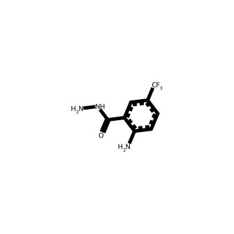 NNC(=O)c1cc(C(F)(F)F)ccc1N